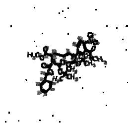 COC(=O)c1cc(N(CCC[C@@H](C(=O)OC)N(C(=O)OCc2ccccc2)C(=O)OC(C)(C)C)C(=O)OC(C)(C)C)ccc1[N+](=O)[O-]